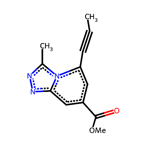 CC#Cc1cc(C(=O)OC)cc2nnc(C)n12